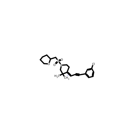 CC1(C)CN(S(=O)(=O)CC2CCCCO2)CC/C1=C\C#Cc1cccc(Cl)c1